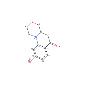 O=C1CC2COCCN2c2cc(Br)ccc21